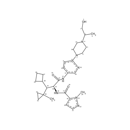 CC(CO)N1CCN(c2ccc(NC(=O)[C@@H](NC(=O)c3ccnn3C)C(C3CCC3)C3(C)CC3)cn2)CC1